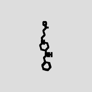 O=[C]CCCN1CCC(NCc2ccccc2)CC1